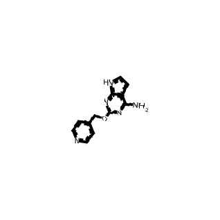 Nc1nc(OCc2ccncc2)nc2[nH]ccc12